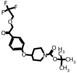 CC(C)(C)OC(=O)N1CCC(Oc2ccc(C(=O)COCC(F)(F)F)cc2)CC1